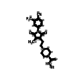 CCNC(=S)N1CCN(CCC2=C(C)C(=O)N(c3ccc(C#N)c(C(F)(F)F)c3)C2=O)CC1